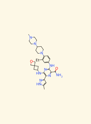 CCc1cc(Nc2nc(NC3CC4(COC4)C3)c(-c3cc(C)[nH]n3)nc2C(N)=O)ccc1N1CCC(N2CCN(C)CC2)CC1